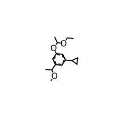 CCOC(C)Oc1cc(C2CC2)cc(C(C)OC)c1